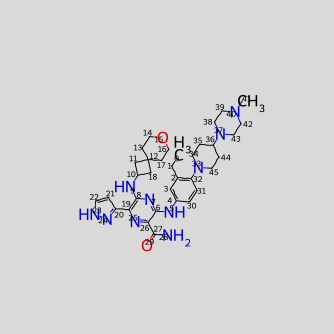 CCc1cc(Nc2nc(NC3CC4(CCOCC4)C3)c(-c3cc[nH]n3)nc2C(N)=O)ccc1N1CCC(N2CCN(C)CC2)CC1